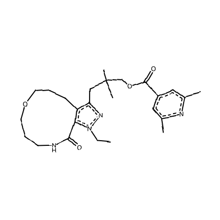 CCn1nc(CC(C)(C)COC(=O)c2cc(C)nc(C)c2)c2c1C(=O)NCCCOCCC2